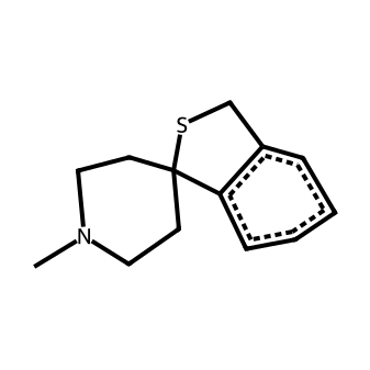 CN1CCC2(CC1)SCc1ccccc12